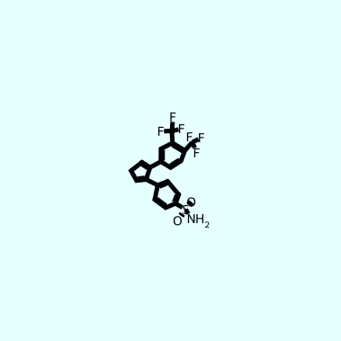 NS(=O)(=O)c1ccc(C2=CCC=C2c2ccc(C(F)(F)F)c(C(F)(F)F)c2)cc1